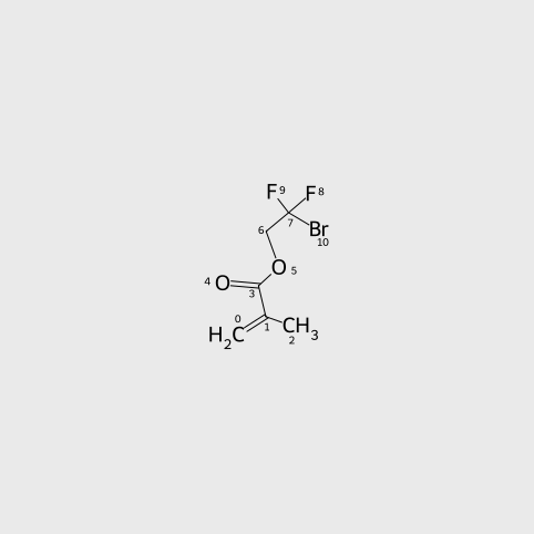 C=C(C)C(=O)OCC(F)(F)Br